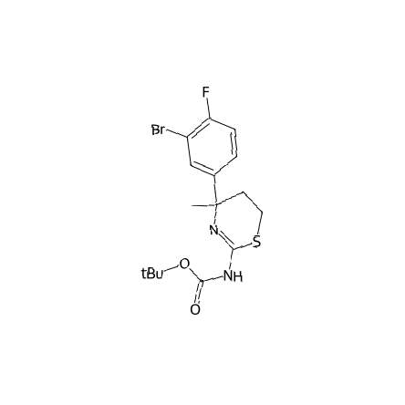 CC(C)(C)OC(=O)NC1=NC(C)(c2ccc(F)c(Br)c2)CCS1